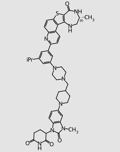 CC(C)c1cc(-c2ccc3c(ccc4sc5c(c43)NC[C@@H](C)NC5=O)n2)cc(N2CCN(CC3CCN(c4ccc5c(c4)n(C)c(=O)n5C4CCC(=O)NC4=O)CC3)CC2)c1